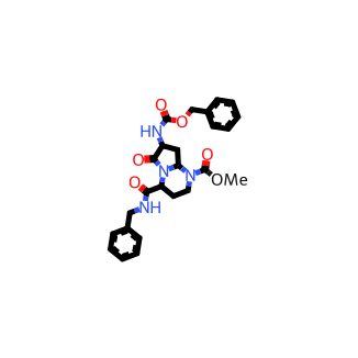 COC(=O)N1CCC(C(=O)NCc2ccccc2)N2C(=O)C(NC(=O)OCc3ccccc3)CC12